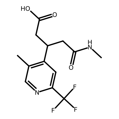 CNC(=O)CC(CC(=O)O)c1cc(C(F)(F)F)ncc1C